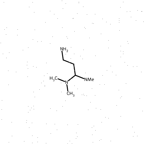 CNC(CCN)N(C)C